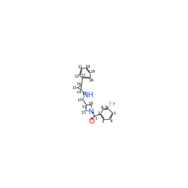 O=C(c1cccc(F)c1)N1CC(CN[C@H]2CC2c2ccccc2)C1